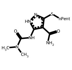 CCCCCSc1n[nH]c(NC(=O)N(C)C)c1C(N)=O